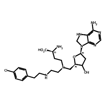 Nc1ncnc2c1NCN2[C@H]1CC(O)[C@@H](CN(CCNCCc2ccc(Cl)cc2)CC[C@H](N)C(=O)O)O1